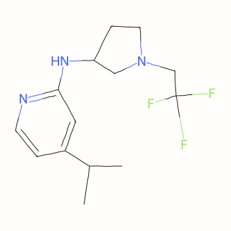 CC(C)c1ccnc(NC2CCN(CC(F)(F)F)C2)c1